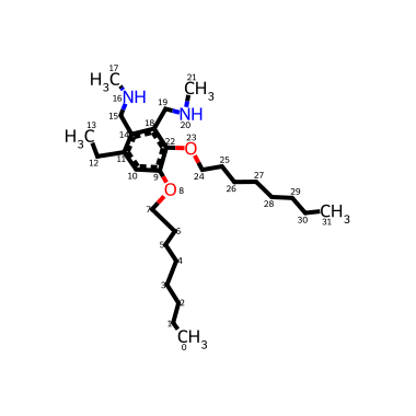 CCCCCCCCOc1cc(CC)c(CNC)c(CNC)c1OCCCCCCCC